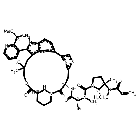 C=CC(=O)N(C)[C@@]1(C)CCN(C(=O)N(C)[C@H](C(=O)N[C@H]2Cc3nc(cs3)-c3ccc4c(c3)c(c(-c3cccnc3[C@H](C)OC)n4CC)CC(C)(C)COC(=O)[C@@H]3CCCN(N3)C2=O)C(C)C)[C@H]1C